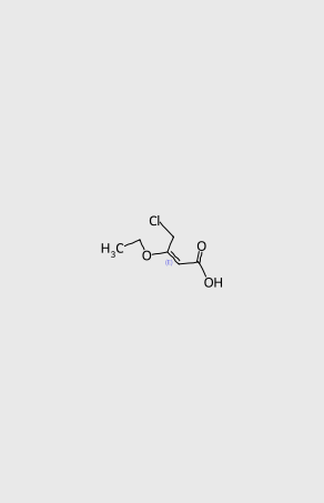 CCO/C(=C/C(=O)O)CCl